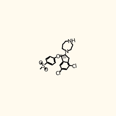 CS(=O)(=O)c1ccc(O[C@@H]2c3cc(Cl)cc(Cl)c3C[C@@H]2N2CCCNCC2)cc1